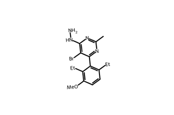 CCc1ccc(OC)c(CC)c1-c1nc(C)nc(NN)c1Br